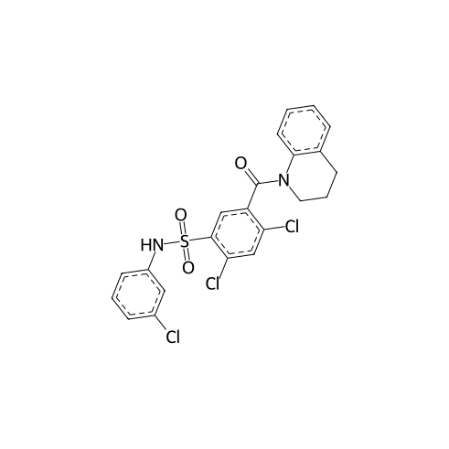 O=C(c1cc(S(=O)(=O)Nc2cccc(Cl)c2)c(Cl)cc1Cl)N1CCCc2ccccc21